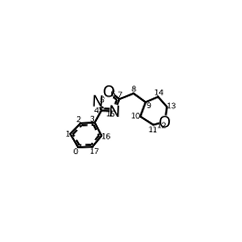 c1ccc(-c2noc(CC3CCOCC3)n2)cc1